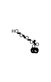 C=C(OCCOCCOCCO)C(=O)OC12CC3CC(CC(C3)C1)C2